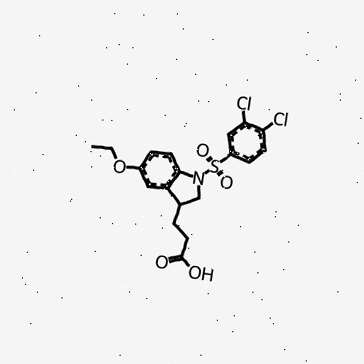 CCOc1ccc2c(c1)C(CCC(=O)O)CN2S(=O)(=O)c1ccc(Cl)c(Cl)c1